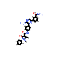 Cc1c(C(=O)Nc2ccc(-c3nc(-c4cccc(C(N)=O)c4)cnc3N)cc2)c(=O)n(-c2ccccc2)n1C